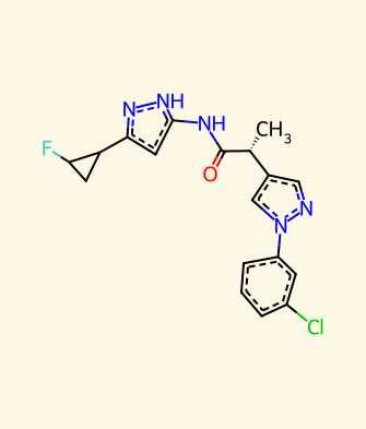 C[C@@H](C(=O)Nc1cc(C2CC2F)n[nH]1)c1cnn(-c2cccc(Cl)c2)c1